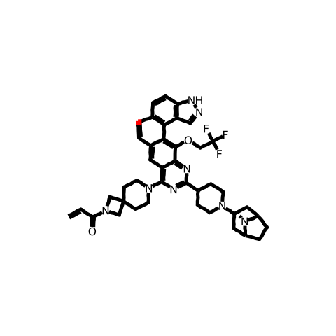 C=CC(=O)N1CC2(CCN(c3nc(C4CCN(C5CC6CCC(C5)N6C)CC4)nc4c(OCC(F)(F)F)c(-c5c(C)ccc6[nH]ncc56)c(C=C)cc34)CC2)C1